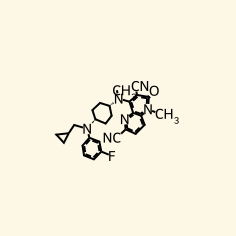 Cn1c(=O)c(C#N)c(N(C)[C@H]2CC[C@@H](N(CC3CC3)c3cccc(F)c3)CC2)c2nc(C#N)ccc21